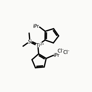 CC(C)C1=[C]([Ti+2]([C]2=C(C(C)C)C=CC2)=[Si](C)C)CC=C1.[Cl-].[Cl-]